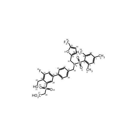 Cc1cc(C)c(S(=O)(=O)N(Cc2ccc(-c3cc(F)c(CO)c(S(=O)(=O)CC(=O)O)c3)cc2)Cc2ccc(C(F)(F)F)o2)c(C)c1